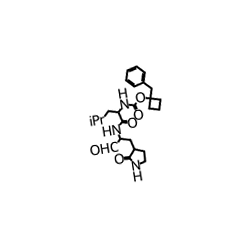 CC(C)CC(NC(=O)OC1(Cc2ccccc2)CCC1)C(=O)NC(C=O)CC1CCNC1=O